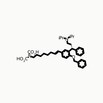 CC(C)N(CC[C@H](c1ccccc1)c1cc(/C=C/CCCCCCN(C(=O)O)C(=O)O)ccc1OCc1ccccc1)C(C)C